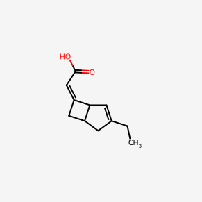 CCC1=CC2C(=CC(=O)O)CC2C1